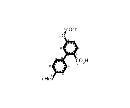 CCCCCCCCOc1ccc(C(=O)O)c(-c2ccc(CCCCCC)cc2)c1